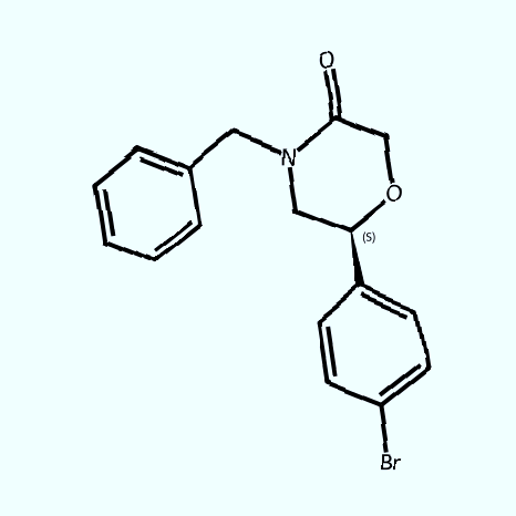 O=C1CO[C@@H](c2ccc(Br)cc2)CN1Cc1ccccc1